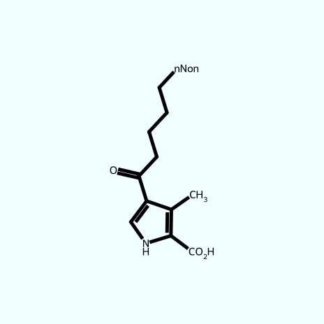 CCCCCCCCCCCCCC(=O)c1c[nH]c(C(=O)O)c1C